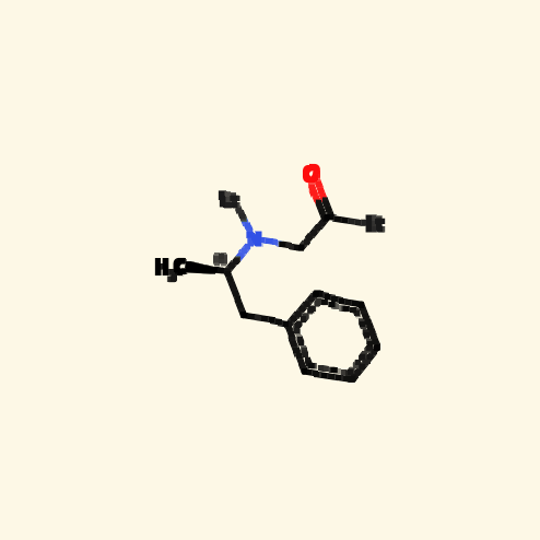 CCC(=O)CN(CC)[C@H](C)Cc1ccccc1